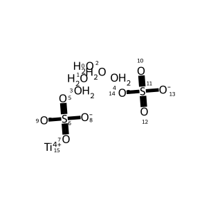 O.O.O.O.O.O=S(=O)([O-])[O-].O=S(=O)([O-])[O-].[Ti+4]